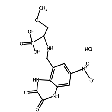 COCC(NCc1cc([N+](=O)[O-])cc2[nH]c(=O)c(=O)[nH]c12)P(=O)(O)O.Cl